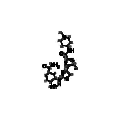 CCCc1ccc(C(N)=O)cc1Nc1nc(-c2sc(C(=O)NC3CCN(C)CC3)nc2C)cs1